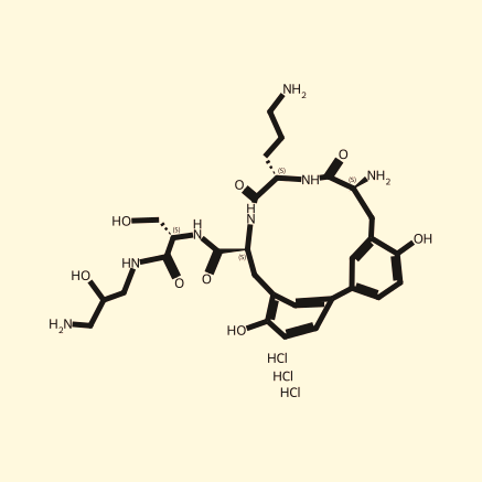 Cl.Cl.Cl.NCCC[C@@H]1NC(=O)[C@@H](N)Cc2cc(ccc2O)-c2ccc(O)c(c2)C[C@@H](C(=O)N[C@@H](CO)C(=O)NCC(O)CN)NC1=O